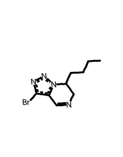 CCCCC1CN=Cc2c(Br)nnn21